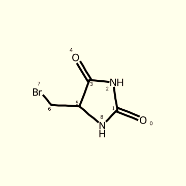 O=C1NC(=O)C(CBr)N1